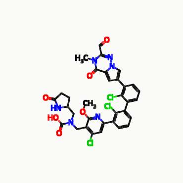 COc1nc(-c2cccc(-c3cccc(-c4cc5c(=O)n(C)c(C=O)nn5c4)c3Cl)c2Cl)cc(Cl)c1CN(CC1CCC(=O)N1)C(=O)O